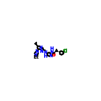 CCN1CCN(c2cc(C3CC3)cn3cc(CNc4ccnc(NC(=O)[C@H]5C[C@@H]5c5cccc(Cl)c5)c4)nc23)CC1